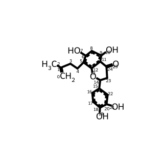 C=C(C)CCc1c(O)cc(O)c2c1OC(c1ccc(O)c(O)c1)CC2=O